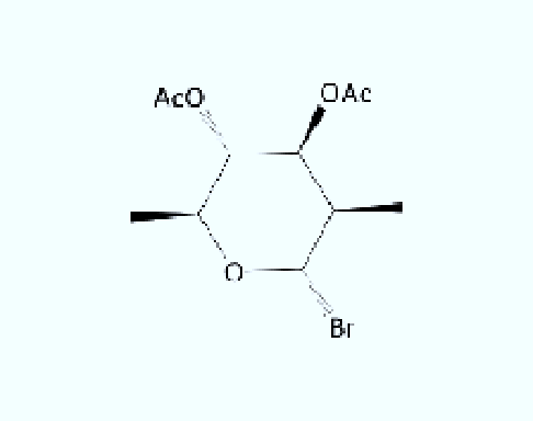 CC(=O)O[C@@H]1[C@@H](OC(C)=O)[C@@H](C)[C@H](Br)O[C@H]1C